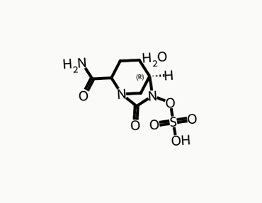 NC(=O)C1CC[C@@H]2CN1C(=O)N2OS(=O)(=O)O.O